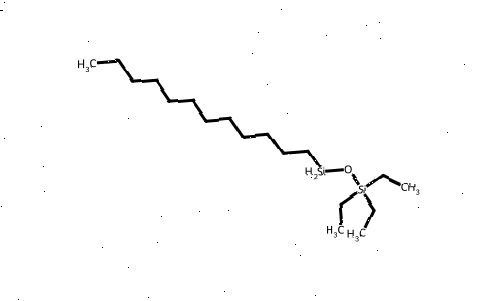 CCCCCCCCCCCC[SiH2]O[Si](CC)(CC)CC